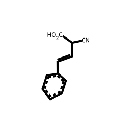 N#CC(C=Cc1ccccc1)C(=O)O